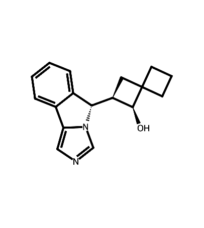 O[C@H]1[C@@H]([C@H]2c3ccccc3-c3cncn32)CC12CCC2